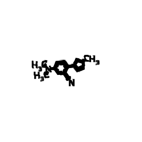 CC1=CC(c2ccc(N(C)C)cc2C#N)C=C1